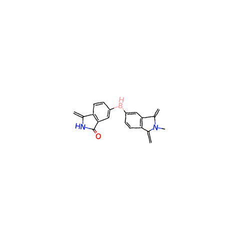 C=C1NC(=O)c2cc(Bc3ccc4c(=C)n(C)c(=C)c4c3)ccc21